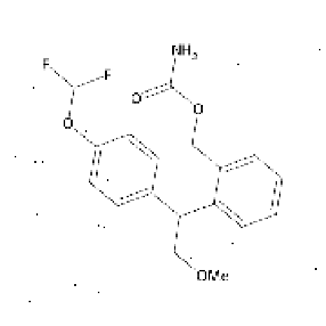 COCC(c1ccc(OC(F)F)cc1)c1ccccc1COC(N)=O